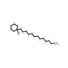 CCCCCCCCCCCCCC1(Br)CCCCC1